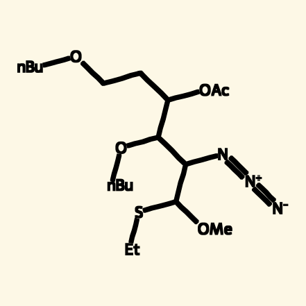 CCCCOCCC(OC(C)=O)C(OCCCC)C(N=[N+]=[N-])C(OC)SCC